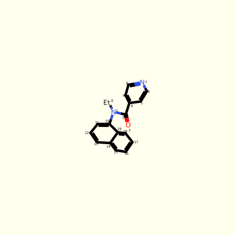 CCN(C(=O)c1ccncc1)c1cccc2ccccc12